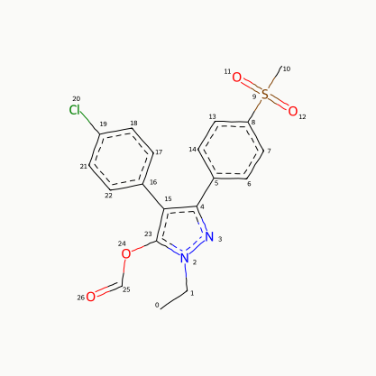 CCn1nc(-c2ccc(S(C)(=O)=O)cc2)c(-c2ccc(Cl)cc2)c1OC=O